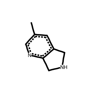 Cc1cnc2c(c1)CNC2